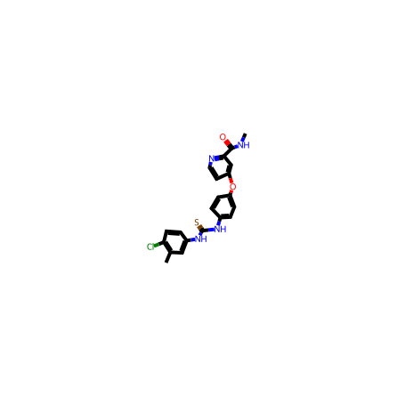 CNC(=O)c1cc(Oc2ccc(NC(=S)Nc3ccc(Cl)c(C)c3)cc2)ccn1